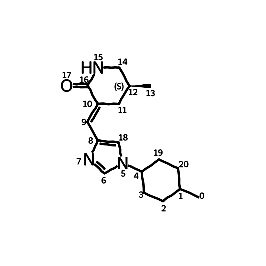 CC1CCC(n2cnc(C=C3C[C@H](C)CNC3=O)c2)CC1